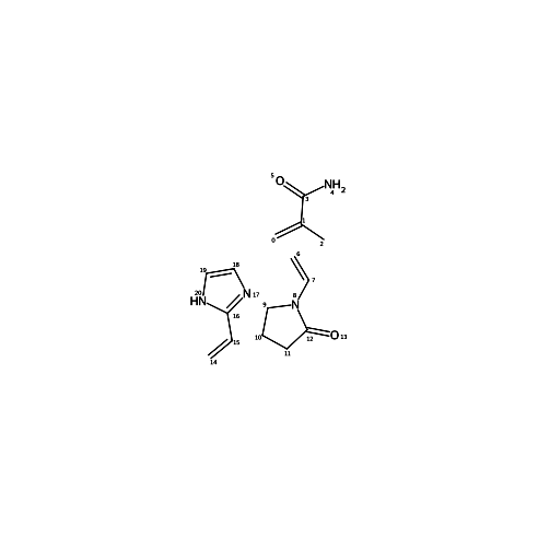 C=C(C)C(N)=O.C=CN1CCCC1=O.C=Cc1ncc[nH]1